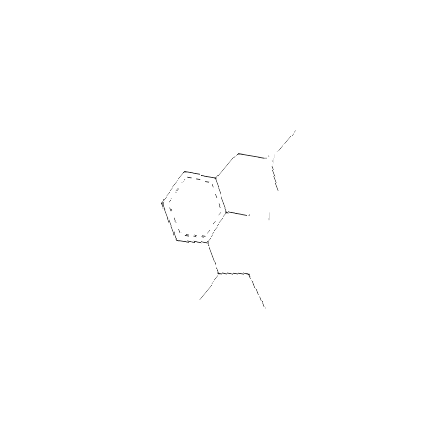 CCC(C)c1c[c]cc(CN(C)C)c1O